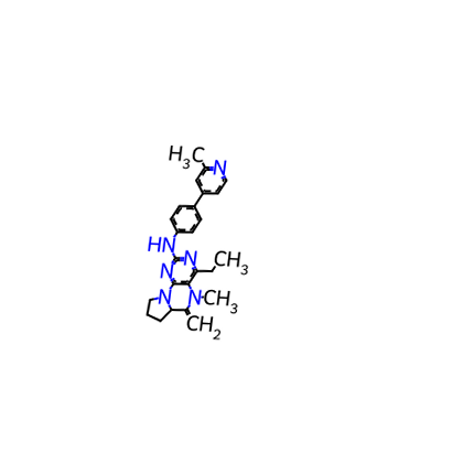 C=C1C2CCCN2c2nc(Nc3ccc(-c4ccnc(C)c4)cc3)nc(CC)c2N1C